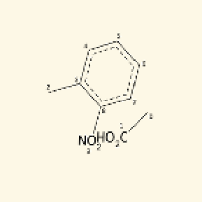 CC(=O)O.Cc1ccccc1[N+](=O)[O-]